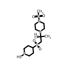 CC(C)(CS(=O)(=O)C1CCN(S)CC1)N1CCN(S(C)(=O)=O)CC1